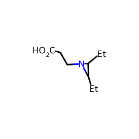 CCC1C(CC)N1CCC(=O)O